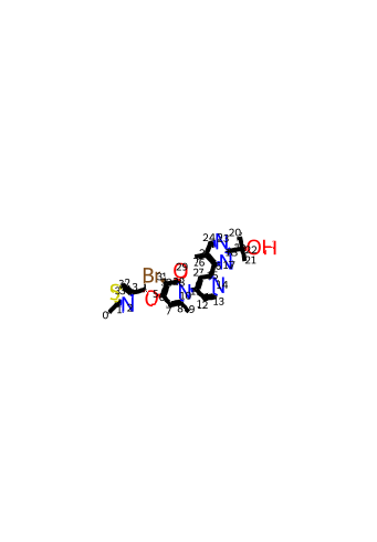 Cc1nc(COc2cc(C)n(-c3ccnc(-c4nc(C(C)(C)O)ncc4C)c3)c(=O)c2Br)cs1